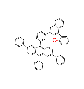 c1ccc(-c2ccc3c(-c4cccc(-c5cc6ccccc6c6c5oc5ccccc56)c4)c4cc(-c5ccccc5)ccc4c(-c4ccccc4)c3c2)cc1